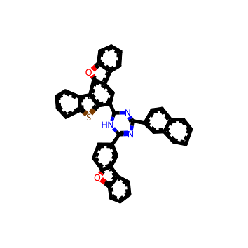 c1ccc2cc(C3=NC(c4cc5c6ccccc6oc5c5c4sc4ccccc45)NC(c4ccc5oc6ccccc6c5c4)=N3)ccc2c1